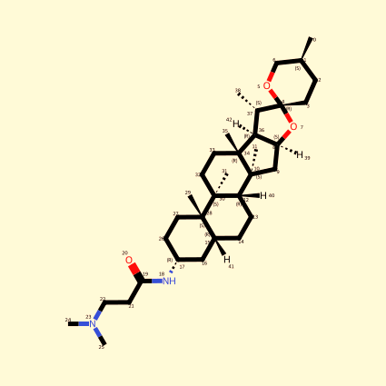 C[C@H]1CC[C@@]2(OC1)O[C@H]1C[C@@]3(C)[C@@H]4CC[C@@H]5C[C@H](NC(=O)CCN(C)C)CC[C@]5(C)[C@@]4(C)CC[C@]3(C)[C@H]1[C@@H]2C